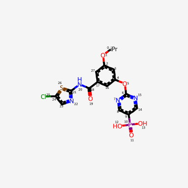 CC(C)Oc1cc(Oc2ncc(P(=O)(O)O)cn2)cc(C(=O)Nc2ncc(Cl)s2)c1